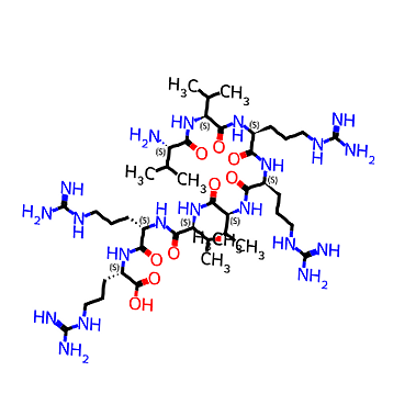 CC(C)[C@H](N)C(=O)N[C@H](C(=O)N[C@@H](CCCNC(=N)N)C(=O)N[C@@H](CCCNC(=N)N)C(=O)N[C@H](C(=O)N[C@H](C(=O)N[C@@H](CCCNC(=N)N)C(=O)N[C@@H](CCCNC(=N)N)C(=O)O)C(C)C)C(C)C)C(C)C